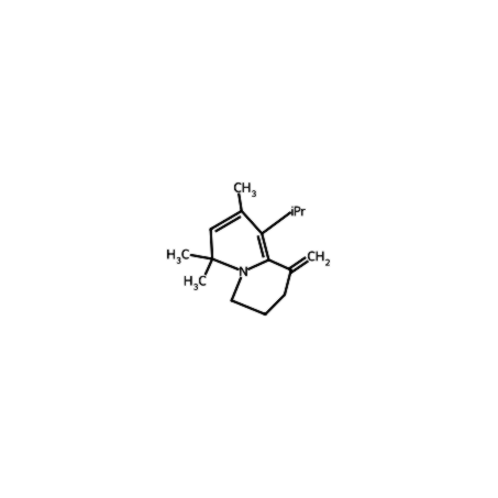 C=C1CCCN2C1=C(C(C)C)C(C)=CC2(C)C